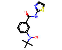 CC(C)(C)N(O)c1cccc(C(=O)Nc2nccs2)c1